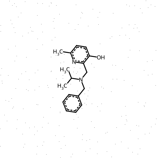 Cc1ccc(O)c(CN(Cc2ccccc2)C(C)C)n1